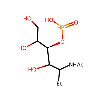 CCC(NC(C)=O)C(O)[C@H](O[PH](=O)O)C(O)CO